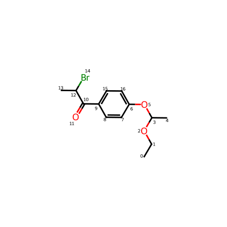 CCOC(C)Oc1ccc(C(=O)C(C)Br)cc1